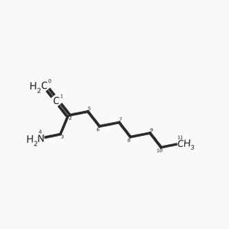 C=C=C(CN)CCCCCCC